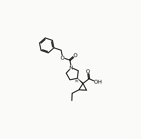 CCC1CC1(C(=O)O)[C@H]1CCN(C(=O)OCc2ccccc2)C1